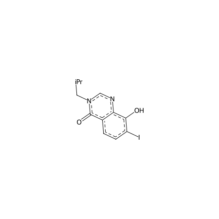 CC(C)Cn1cnc2c(O)c(I)ccc2c1=O